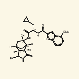 COc1cccc2[nH]c(C(=O)N[C@@H](CC3CC3)C(=O)N[C@@]3(C#N)C[C@@H]4CC[C@H]3[C@@H]3C(=O)NC(O)[C@H]43)cc12